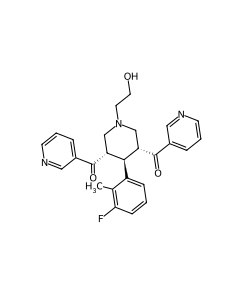 Cc1c(F)cccc1[C@@H]1[C@@H](C(=O)c2cccnc2)CN(CCO)C[C@H]1C(=O)c1cccnc1